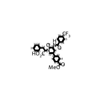 COC(=O)c1ccc(-c2cc(NC(=O)c3ccc(C(F)(F)F)cc3)c(=O)n(C(Cc3ccccc3)C(=O)O)c2)cc1